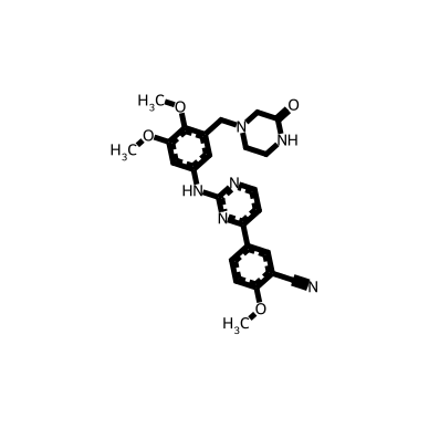 COc1ccc(-c2ccnc(Nc3cc(CN4CCNC(=O)C4)c(OC)c(OC)c3)n2)cc1C#N